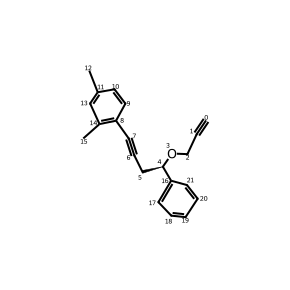 C#CCO[C@H](CC#Cc1ccc(C)cc1C)c1ccccc1